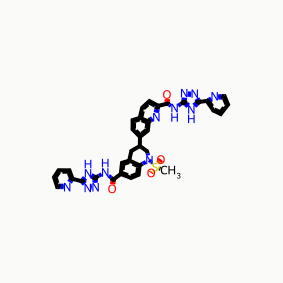 CS(=O)(=O)N1CC(c2ccc3ccc(C(=O)Nc4nnc(-c5ccccn5)[nH]4)nc3c2)Cc2cc(C(=O)Nc3nnc(-c4ccccn4)[nH]3)ccc21